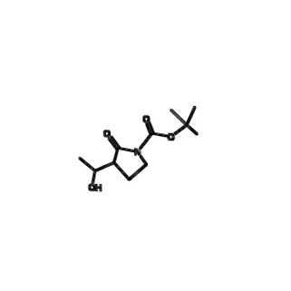 CC(O)C1CCN(C(=O)OC(C)(C)C)C1=O